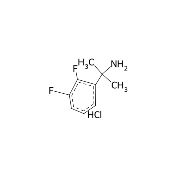 CC(C)(N)c1cccc(F)c1F.Cl